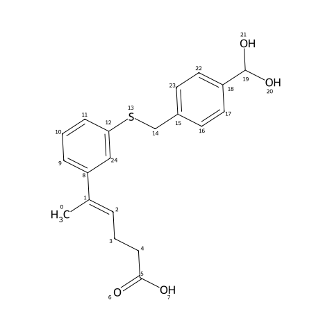 CC(=CCCC(=O)O)c1cccc(SCc2ccc(C(O)O)cc2)c1